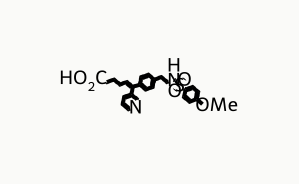 COc1ccc(S(=O)(=O)NCCc2ccc(/C(=C/CCCC(=O)O)c3cccnc3)cc2)cc1